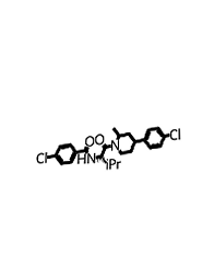 CC(C)[C@@H](NC(=O)c1ccc(Cl)cc1)C(=O)N1CCC(c2ccc(Cl)cc2)CC1C